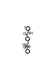 O=C(Nc1cccnc1)c1ccc(CNS(=O)(=O)c2ccccc2)cc1